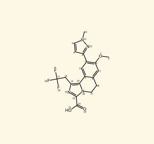 COc1cc2c(cc1-c1ccn(C)n1)-c1c(CC(F)(F)F)nc(C(=O)O)n1CC2